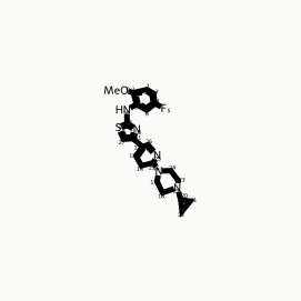 COc1ccc(F)cc1Nc1nc(C2=CCC(N3CCN(C4CC4)CC3)N=C2)cs1